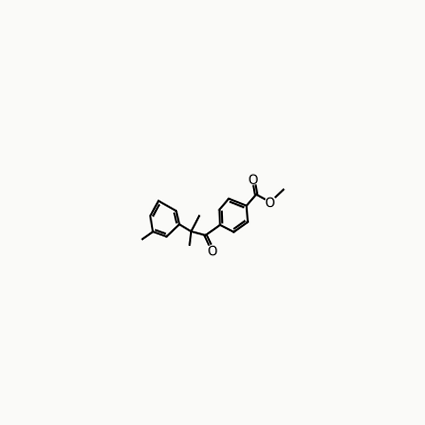 COC(=O)c1ccc(C(=O)C(C)(C)c2cccc(C)c2)cc1